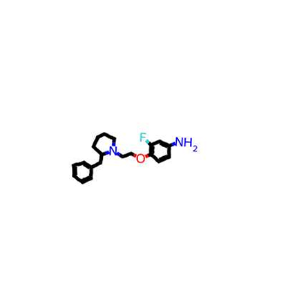 Nc1ccc(OCCN2CCCCC2Cc2ccccc2)c(F)c1